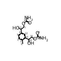 Cc1ccc(C(O)COC(N)=O)cc1C(O)COC(N)=O